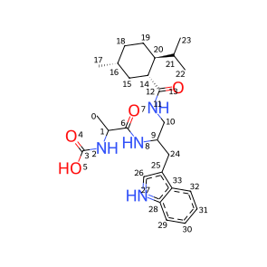 CC(NC(=O)O)C(=O)NC(CNC(=O)[C@@H]1C[C@H](C)CC[C@H]1C(C)C)Cc1c[nH]c2ccccc12